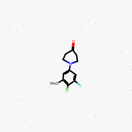 COc1cc(N2CCC(=O)CC2)cc(F)c1Cl